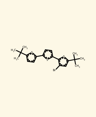 CC(C)(C)c1ccc(-c2ccc(-c3sc(C(C)(C)C)cc3Br)s2)s1